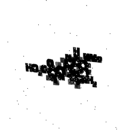 CNc1cc(F)c(C#N)c2c1[nH]c1ncc(-c3cnc4c(c3)c(=O)c(C(=O)O)cn4C)c(N3CC[C@@]4(C[C@H]4N)C3)c12